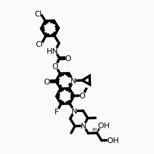 COc1c(N2CC(C)N(C[C@@H](O)CO)C(C)C2)c(F)cc2c(=O)c(OC(=O)NCc3ccc(Cl)cc3Cl)cn(C3CC3)c12